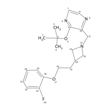 CC(C)(C)Oc1nccnc1CN1CC(CCOc2ccccc2F)C1